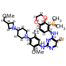 CCc1cc(Nc2ncc(Br)c(Nc3ccc4c(c3P(C)C)OCCO4)n2)c(OC)cc1N1CCC(N2CC(COC)C2)CC1